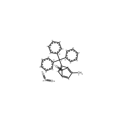 CC1=C2C(=O)C(=C1)C=C2C(c1ccccc1)(c1ccccc1)c1ccccc1.O=S=O